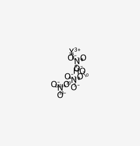 CO.O=[N+]([O-])[O-].O=[N+]([O-])[O-].O=[N+]([O-])[O-].[Y+3]